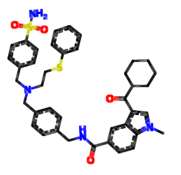 Cn1cc(C(=O)C2CCCCC2)c2cc(C(=O)NCc3ccc(CN(CCSc4ccccc4)Cc4ccc(S(N)(=O)=O)cc4)cc3)ccc21